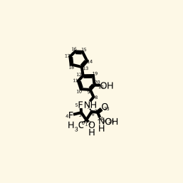 C[C@@](O)(C(F)F)[C@H](NCc1ccc(-c2ccccc2)cc1O)C(=O)NO